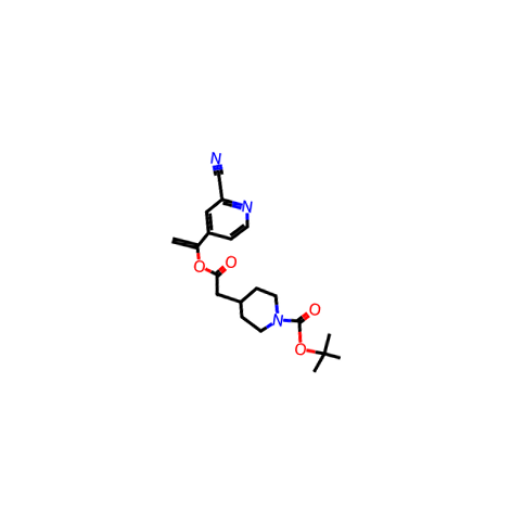 C=C(OC(=O)CC1CCN(C(=O)OC(C)(C)C)CC1)c1ccnc(C#N)c1